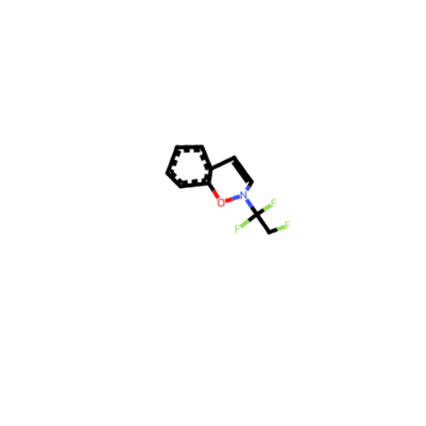 FCC(F)(F)N1C=Cc2ccccc2O1